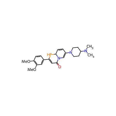 COc1ccc(C2=CC(=O)N3C=C(N4CCC(N(C)C)CC4)C=CC3P2)cc1OC